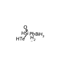 O=[SiH][TeH].[BiH3].[PbH2]